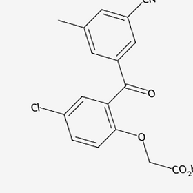 Cc1cc(C#N)cc(C(=O)c2cc(Cl)ccc2OCC(=O)O)c1